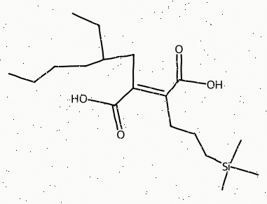 CCCCC(CC)C/C(C(=O)O)=C(/CCC[Si](C)(C)C)C(=O)O